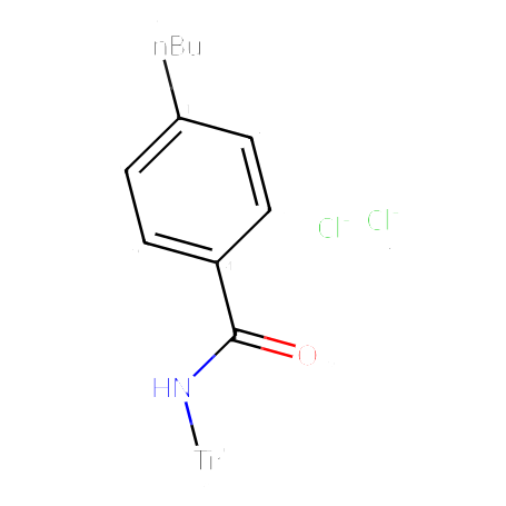 CCCCc1ccc(C(=O)[NH][Ti+2])cc1.[Cl-].[Cl-]